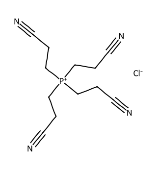 N#CCC[P+](CCC#N)(CCC#N)CCC#N.[Cl-]